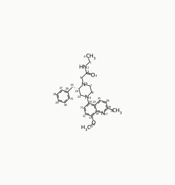 CCNC(=O)CN1CCN(c2ccc(OC)c3nc(C)ccc23)C[C@@H]1Cc1ccccc1